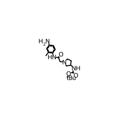 Cc1cc(N)ccc1NC(=O)CN1CCC(NC(=O)OC(C)(C)C)C1